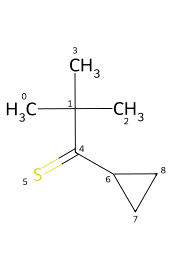 CC(C)(C)C(=S)C1CC1